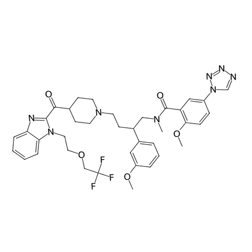 COc1cccc(C(CCN2CCC(C(=O)c3nc4ccccc4n3CCOCC(F)(F)F)CC2)CN(C)C(=O)c2cc(-n3cnnn3)ccc2OC)c1